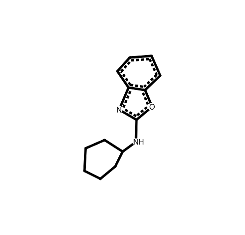 c1ccc2oc(NC3CCCCC3)nc2c1